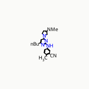 CCCCc1cc(N2CC[C@H](NC)C2)nc(Nc2ccc(C)c(C#N)c2)n1